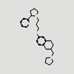 c1ccc(C2CCCN2CCCOc2ccc3c(c2)CCC(CN2CCCC2)C3)nc1